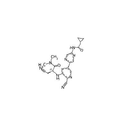 CN(C)C(=O)[C@H](CC#N)Nc1cc(-c2cnc(NC(=O)C3CC3)cn2)cnc1C#N